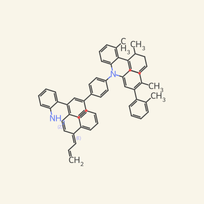 C=C/C=C(\C=C/c1ccc(-c2ccc(N(C3=CC(c4ccccc4C)=C(C)CC3)c3cccc(C)c3C3=CC=CCC3C)cc2)cc1-c1ccccc1N)c1ccccc1